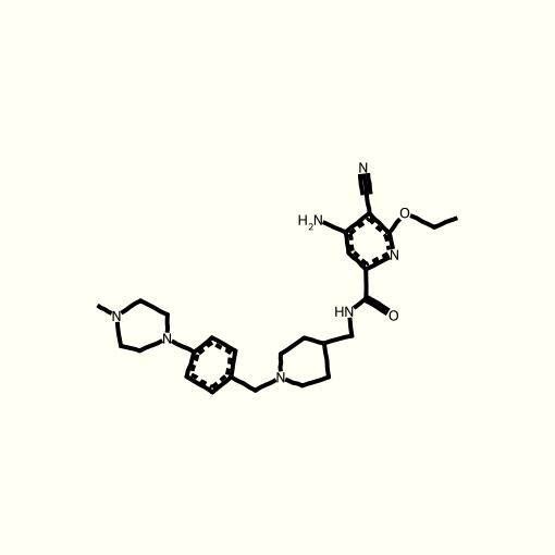 CCOc1nc(C(=O)NCC2CCN(Cc3ccc(N4CCN(C)CC4)cc3)CC2)cc(N)c1C#N